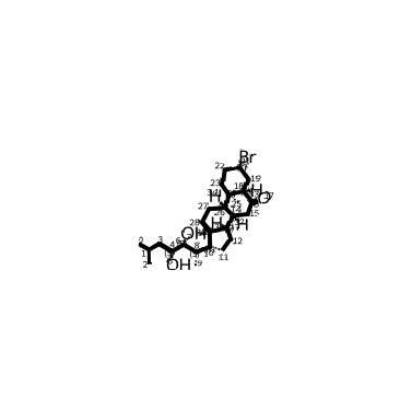 CC(C)C[C@H](O)[C@@H](O)[C@@H](C)[C@H]1CC[C@H]2[C@@H]3CC(=O)[C@H]4C[C@@H](Br)CC[C@]4(C)[C@H]3CC[C@]12C